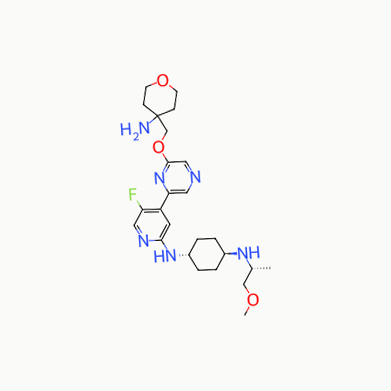 COC[C@@H](C)N[C@H]1CC[C@H](Nc2cc(-c3cncc(OCC4(N)CCOCC4)n3)c(F)cn2)CC1